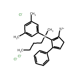 CCCC[Si](C)(C1=[C]([Ti+3])CC=C1c1ccccc1)c1cc(C)cc(C)c1.[Cl-].[Cl-].[Cl-]